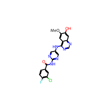 COc1cc2c(Nc3cnc(NC(=O)c4ccc(F)c(Cl)c4)nc3)ncnc2cc1O